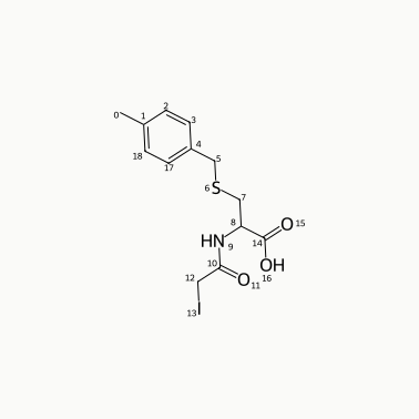 Cc1ccc(CSCC(NC(=O)CI)C(=O)O)cc1